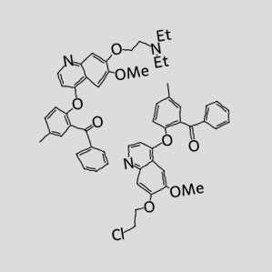 CCN(CC)CCOc1cc2nccc(Oc3ccc(C)cc3C(=O)c3ccccc3)c2cc1OC.COc1cc2c(Oc3ccc(C)cc3C(=O)c3ccccc3)ccnc2cc1OCCCl